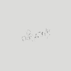 Brc1ccccc1CN1CCN(C2CCCC(Cc3ccccc3)(Cc3ccccc3)CC2)CC1